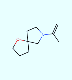 C=C(C)N1CCC2(CCCO2)C1